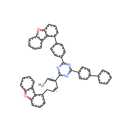 C/C=C(\C=C/Cc1cccc2oc3ccccc3c12)c1nc(-c2ccc(-c3ccccc3)cc2)nc(-c2ccc(-c3cccc4oc5ccccc5c34)cc2)n1